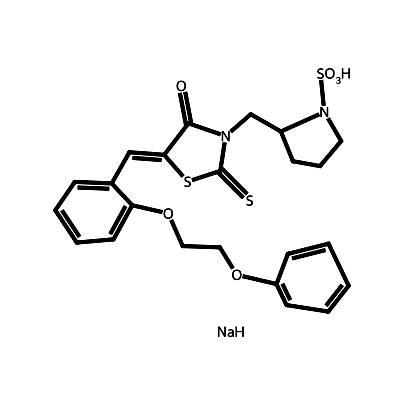 O=C1C(=Cc2ccccc2OCCOc2ccccc2)SC(=S)N1CC1CCCN1S(=O)(=O)O.[NaH]